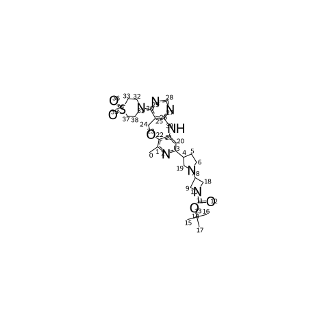 Cc1nc(C2CCN(C3CN(C(=O)OC(C)(C)C)C3)C2)cc2c1OCc1c(ncnc1N1CCS(=O)(=O)CC1)N2